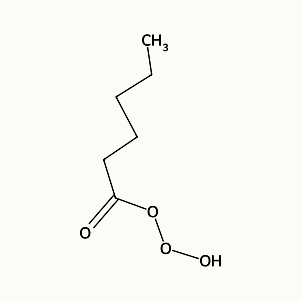 CCCCCC(=O)OOO